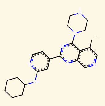 COc1cncc2nc(-c3ccnc(NC4CCCCC4)c3)nc(N3CCNCC3)c12